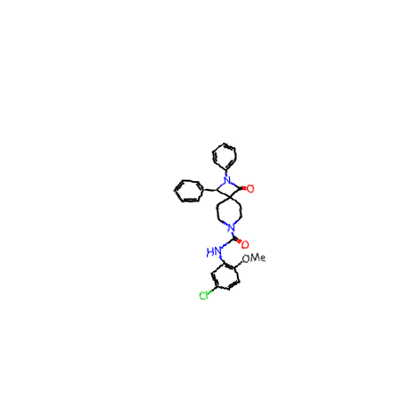 COc1ccc(Cl)cc1NC(=O)N1CCC2(CC1)C(=O)N(c1ccccc1)C2c1ccccc1